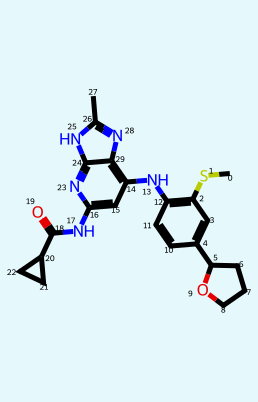 CSc1cc(C2CCCO2)ccc1Nc1cc(NC(=O)C2CC2)nc2[nH]c(C)nc12